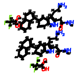 CNC(=O)Cc1[nH]c2ccc(-c3cccc4ccccc34)cc2c1CCN.CNC(=O)Cc1[nH]c2ccc(-c3cccc4ccccc34)cc2c1CCN.O=C(O)C(F)(F)F.O=C(O)C(F)(F)F